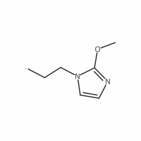 [CH2]CCn1ccnc1OC